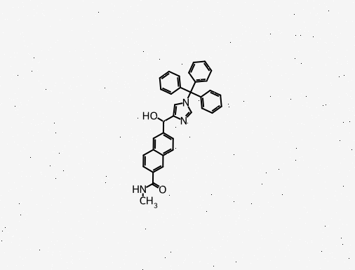 CNC(=O)c1ccc2cc(C(O)c3cn(C(c4ccccc4)(c4ccccc4)c4ccccc4)cn3)ccc2c1